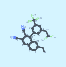 CCc1ccc2cc(C#N)c(C#N)c(-c3cc(CC(F)F)cc(C(F)(F)F)c3)c2c1